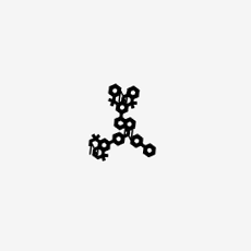 CC1(C)CCN2CCC(C)(C)c3cc(-c4ccc(N(c5ccc(-c6ccccc6)cc5)c5cccc6c(-c7cc8c9c(c7)C(C)(C)c7ccccc7N9c7ccccc7C8(C)C)cccc56)cc4)cc1c32